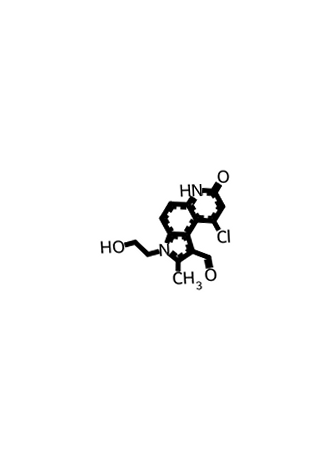 Cc1c(C=O)c2c3c(Cl)cc(=O)[nH]c3ccc2n1CCO